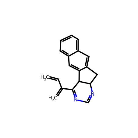 C=CC(=C)C1=NC=NC2Cc3cc4ccccc4cc3C12